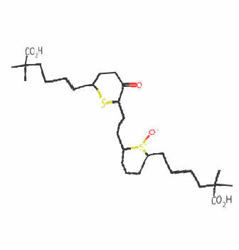 CC(C)(CCCCC1CCC(=O)C(CCC2CCCC(CCCCC(C)(C)C(=O)O)[S+]2[O-])S1)C(=O)O